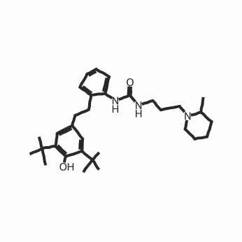 CC1CCCCN1CCCNC(=O)Nc1ccccc1CCc1cc(C(C)(C)C)c(O)c(C(C)(C)C)c1